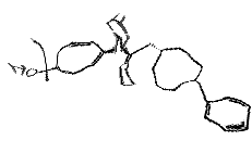 CC(C)(O)c1ccc(NC(=O)C[C@H]2CC[C@H](c3ccccc3)CC2)cc1